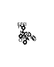 O=C(NC1(c2ccccc2)CC1)c1c(CN2CCC(N3CCOCC3)CC2)c(-c2ccc(Cl)c(C(F)(F)F)c2)nc2ccc(Cl)cc12